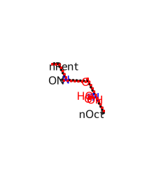 C=C(CCCCCCCCCN(CCCCCCCC/C=C\CCCCCCCC)CCP(=O)(O)O)OCCCCCCCCCCN(CCCCCCCC/C=C\C/C=C\CCCCC)CCN=O